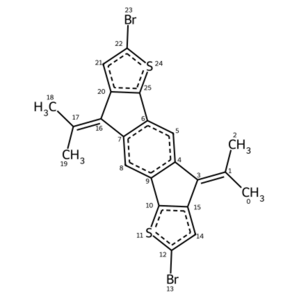 CC(C)=C1c2cc3c(cc2-c2sc(Br)cc21)C(=C(C)C)c1cc(Br)sc1-3